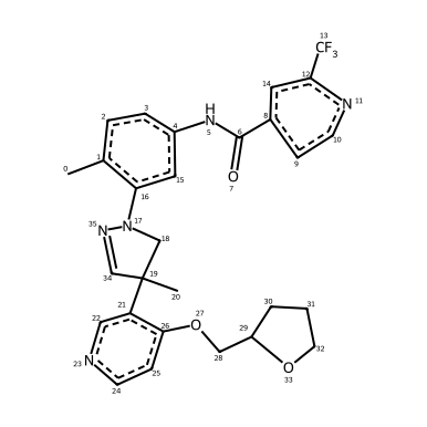 Cc1ccc(NC(=O)c2ccnc(C(F)(F)F)c2)cc1N1CC(C)(c2cnccc2OCC2CCCO2)C=N1